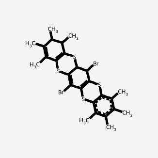 CC1=C(C)C(C)C(C)C2=C1SC1=C(Br)C3=C(Sc4c(C)c(C)c(C)c(C)c4S3)C(Br)C1S2